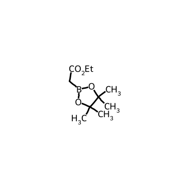 CCOC(=O)CB1OC(C)(C)C(C)(C)O1